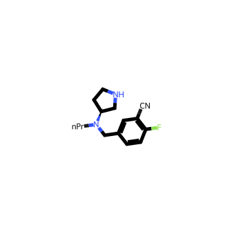 CCCN(Cc1ccc(F)c(C#N)c1)[C@H]1CCNC1